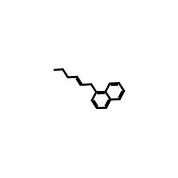 CCCC=CCc1[c]ccc2ccccc12